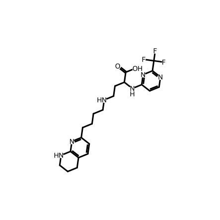 O=C(O)C(CCNCCCCc1ccc2c(n1)NCCC2)Nc1ccnc(C(F)(F)F)n1